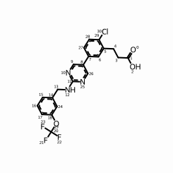 O=C(O)CCc1cc(-c2cnc(NCc3cccc(OC(F)(F)F)c3)nc2)ccc1Cl